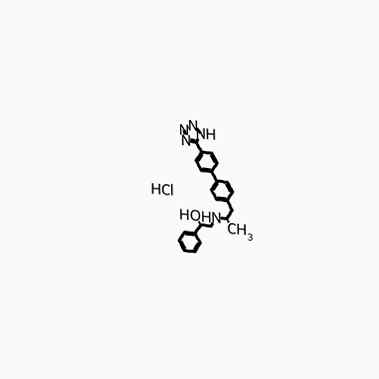 C[C@H](Cc1ccc(-c2ccc(-c3nnn[nH]3)cc2)cc1)NC[C@H](O)c1ccccc1.Cl